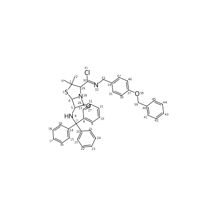 CC1(C)SC2C(NC(c3ccccc3)(c3ccccc3)c3ccccc3)C(=O)N2C1C(Cl)=NCc1ccc(OCc2ccccc2)cc1